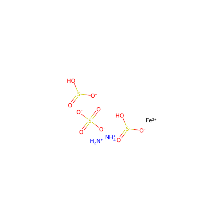 O=S(=O)([O-])[O-].O=S([O-])O.O=S([O-])O.[Fe+2].[NH4+].[NH4+]